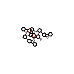 Fc1cc(Oc2cccc(-c3c(-c4ccc5c(c4)oc4ccccc45)cccc3-n3c4ccccc4c4ccccc43)c2)cc(-c2c(-c3ccc4oc5ccccc5c4c3)cccc2-n2c3ccccc3c3ccccc32)c1